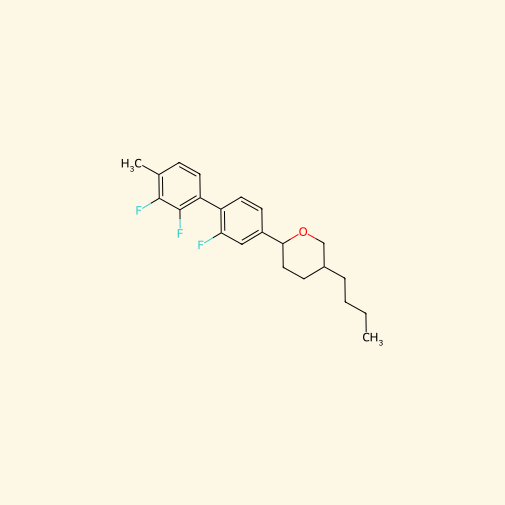 CCCCC1CCC(c2ccc(-c3ccc(C)c(F)c3F)c(F)c2)OC1